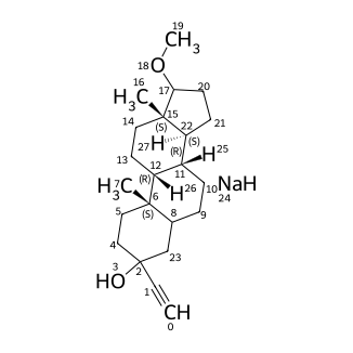 C#CC1(O)CC[C@@]2(C)C(CC[C@@H]3[C@H]2CC[C@]2(C)C(OC)CC[C@@H]32)C1.[NaH]